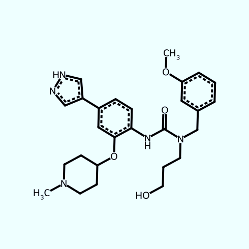 COc1cccc(CN(CCCO)C(=O)Nc2ccc(-c3cn[nH]c3)cc2OC2CCN(C)CC2)c1